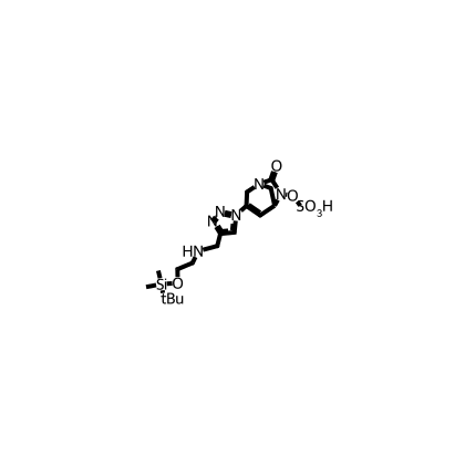 CC(C)(C)[Si](C)(C)OCCNCc1cn(C2=CC3CN(C2)C(=O)N3OS(=O)(=O)O)nn1